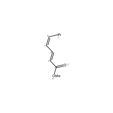 COC(=O)/C=C/C=C\C(C)C